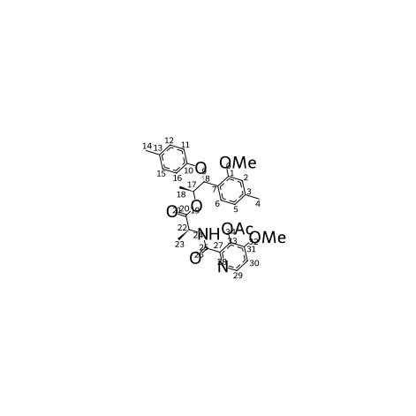 COc1cc(C)ccc1[C@@H](Oc1ccc(C)cc1)[C@H](C)OC(=O)[C@H](C)NC(=O)c1nccc(OC)c1OC(C)=O